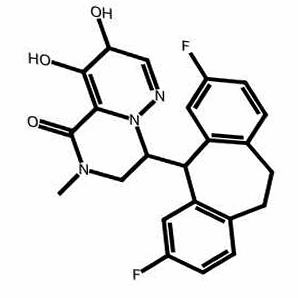 CN1CC(C2c3cc(F)ccc3CCc3ccc(F)cc32)N2N=CC(O)C(O)=C2C1=O